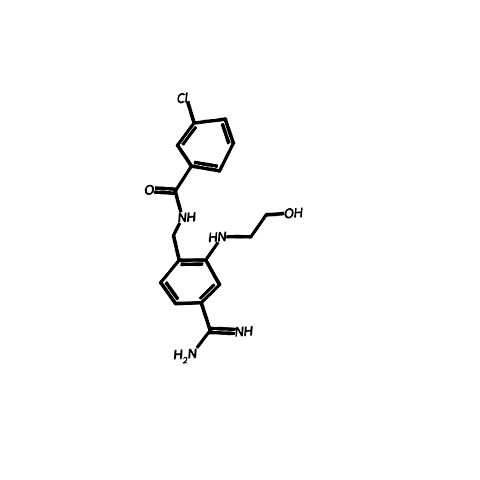 N=C(N)c1ccc(CNC(=O)c2cccc(Cl)c2)c(NCCO)c1